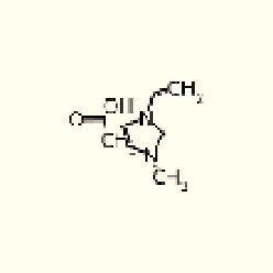 C=CN1C=CN(C)C1.CC(=O)O